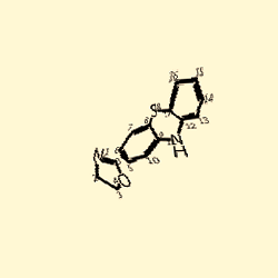 C1=NCCO1.c1ccc2c(c1)Nc1ccccc1S2